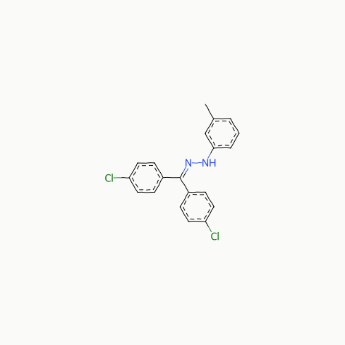 Cc1cccc(NN=C(c2ccc(Cl)cc2)c2ccc(Cl)cc2)c1